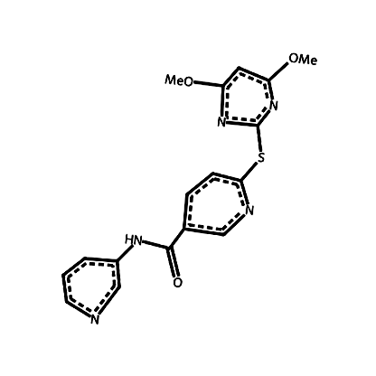 COc1cc(OC)nc(Sc2ccc(C(=O)Nc3cccnc3)cn2)n1